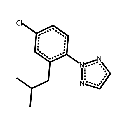 CC(C)Cc1cc(Cl)ccc1-n1nccn1